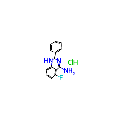 Cl.NC1=NC(c2ccccc2)Nc2cccc(F)c21